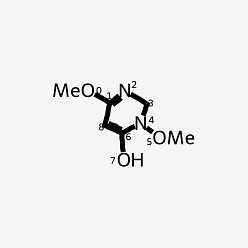 COC1=NCN(OC)C(O)=C1